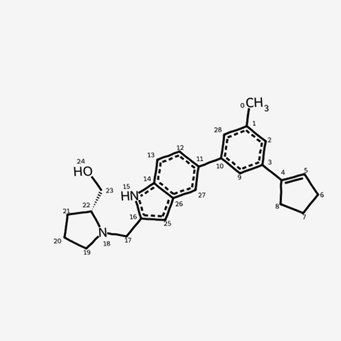 Cc1cc(C2=CCCC2)cc(-c2ccc3[nH]c(CN4CCC[C@@H]4CO)cc3c2)c1